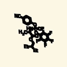 CCC(CC)COC(=O)C(C)NP(=O)(Oc1ccc(C#N)cc1)Oc1c(F)c(F)c(F)c(F)c1F